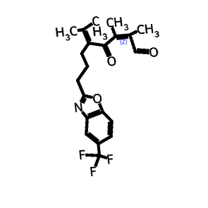 CC(C)=C(CCCc1nc2cc(C(F)(F)F)ccc2o1)C(=O)/C(C)=C(/C)C=O